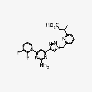 CC(CC(=O)O)c1cccc(Cn2cc(-c3cc(-c4cccc(F)c4F)nc(N)n3)nn2)n1